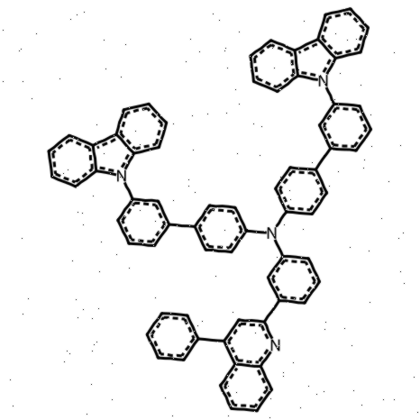 c1ccc(-c2cc(-c3cccc(N(c4ccc(-c5cccc(-n6c7ccccc7c7ccccc76)c5)cc4)c4ccc(-c5cccc(-n6c7ccccc7c7ccccc76)c5)cc4)c3)nc3ccccc23)cc1